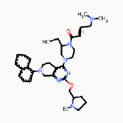 CCN1CCCC1COc1nc2c(c(N3CCN(C(=O)/C=C/CN(C)C)C(CC#N)C3)n1)CCN(c1cccc3ccccc13)C2